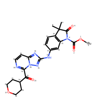 CC(C)(C)OC(=O)N1C(=O)C(C)(C)c2ccc(Nc3nc4ccnc(C(=O)C5CCOCC5)n4n3)cc21